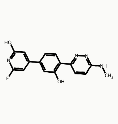 CNc1ccc(-c2ccc(-c3cc(O)nc(F)c3)cc2O)nn1